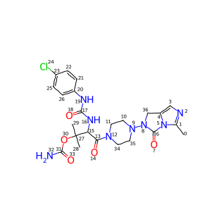 Cc1ncc2n1C(=O)N(N1CCN(C(=O)C(NC(=O)Nc3ccc(Cl)cc3)C(C)(C)OC(N)=O)CC1)C2